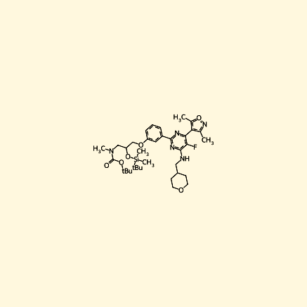 Cc1noc(C)c1-c1nc(-c2cccc(OCC(CN(C)C(=O)OC(C)(C)C)O[Si](C)(C)C(C)(C)C)c2)nc(NCC2CCOCC2)c1F